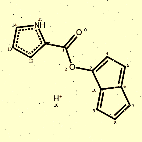 O=C(OC1=CC=C2C=CC=C21)c1ccc[nH]1.[H+]